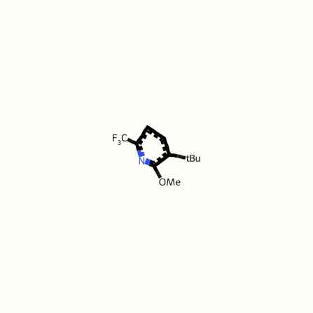 COc1nc(C(F)(F)F)ccc1C(C)(C)C